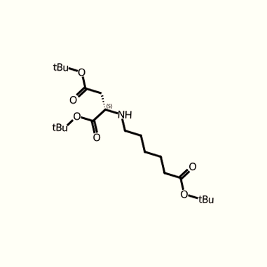 CC(C)(C)OC(=O)CCCCCN[C@@H](CC(=O)OC(C)(C)C)C(=O)OC(C)(C)C